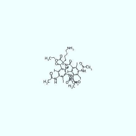 CCOC(=O)[C@](CCCCN)(NC(=O)c1c(I)c(NC(C)=O)c(I)c(NC(C)=O)c1I)C(=O)c1c(I)c(NC(C)=O)c(I)c(NC(C)=O)c1I